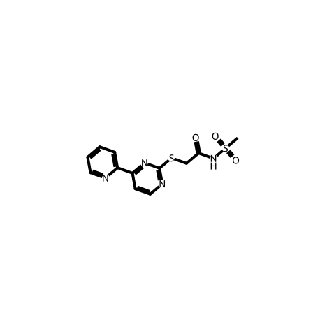 CS(=O)(=O)NC(=O)CSc1nccc(-c2ccccn2)n1